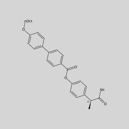 CCCCCCCCOc1ccc(-c2ccc(C(=O)Oc3ccc([C@H](C)C(=O)S)cc3)cc2)cc1